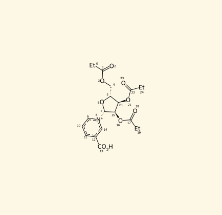 CCC(=O)OC[C@H]1O[C@@H]([n+]2cccc(C(=O)O)c2)[C@H](OC(=O)CC)[C@@H]1OC(=O)CC